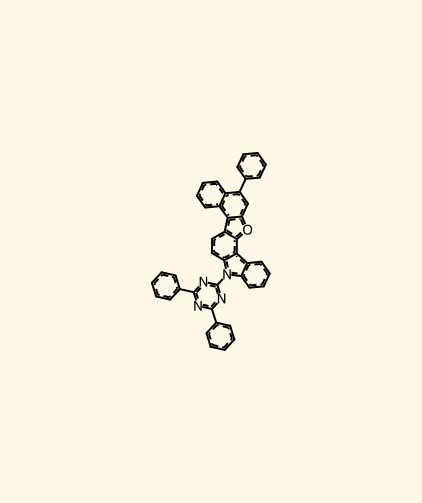 c1ccc(-c2nc(-c3ccccc3)nc(-n3c4ccccc4c4c5oc6cc(-c7ccccc7)c7ccccc7c6c5ccc43)n2)cc1